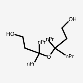 CCCC(CCC)(CCO)OC(CCC)(CCC)CCO